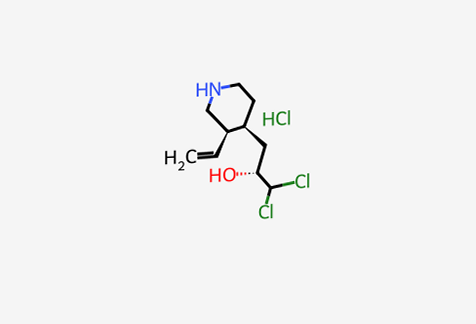 C=C[C@H]1CNCC[C@H]1C[C@@H](O)C(Cl)Cl.Cl